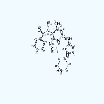 Cc1nc(Nc2cnn(C3CCNCC3)c2)nc2c1N(C)C(=O)c1ccccc1N2C